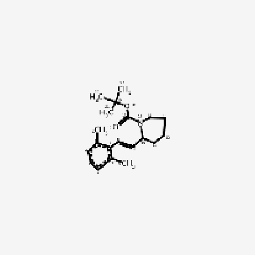 Cc1cccc(C)c1/C=C/C1CCCCN1C(=O)OC(C)(C)C